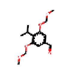 COCOc1cc(C=O)cc(OCOC)c1C(C)C